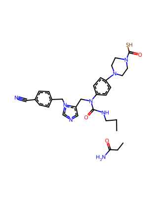 CCC(N)=O.CCCNC(=O)N(Cc1cncn1Cc1ccc(C#N)cc1)c1ccc(N2CCN(C(=O)S)CC2)cc1